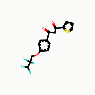 O=C(CC(=O)c1cccs1)c1ccc(OCC(F)(F)C(F)F)cc1